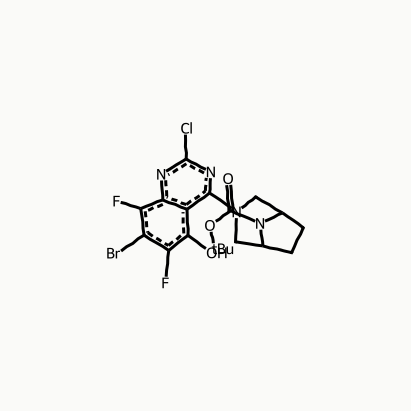 CC(C)(C)OC(=O)N1C2CCC1CN(c1nc(Cl)nc3c(F)c(Br)c(F)c(O)c13)C2